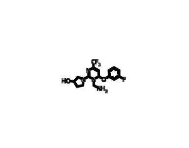 NCN1C(N2CCC(O)C2)=NC(C(F)(F)F)=CC1Oc1cccc(F)c1